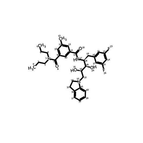 CCCN(CCC)C(=O)c1cc(C)cc(C(=O)N[C@@H](Cc2cc(F)cc(F)c2)[C@@H](O)[C@H](O)CN2CCc3ccccc32)c1